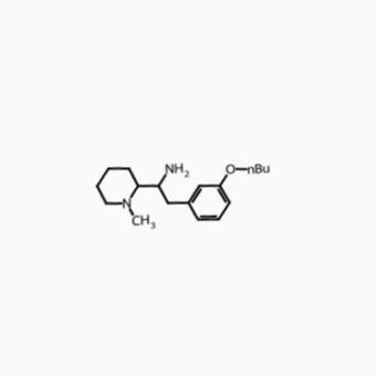 CCCCOc1cccc(CC(N)C2CCCCN2C)c1